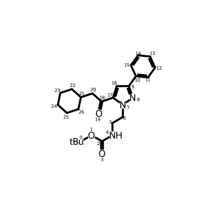 CC(C)(C)OC(=O)NCCn1nc(-c2ccccc2)cc1C(=O)CC1CCCCC1